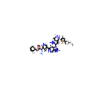 Cc1ccc(-c2nccc3[nH]c(-c4n[nH]c5cnc(-c6cncc(NC(=O)Cc7ccccc7)c6)cc45)cc23)s1